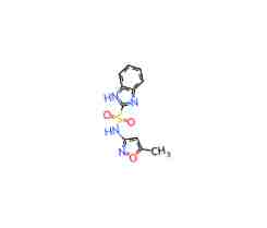 Cc1cc(NS(=O)(=O)c2nc3ccccc3[nH]2)no1